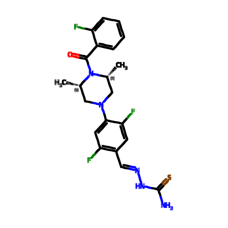 C[C@@H]1CN(c2cc(F)c(C=NNC(N)=S)cc2F)C[C@H](C)N1C(=O)c1ccccc1F